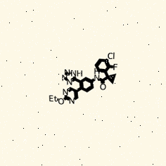 CCOc1ncc(-c2ccc(NC(=O)C3(c4cccc(Cl)c4F)CC3)cc2-c2nnn[nH]2)cn1